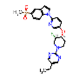 CCc1cnc(N2CC[C@H](Oc3ccc(-n4ccc5cc(S(C)(=O)=O)ccc54)nc3)[C@H](F)C2)nc1